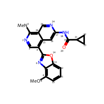 CNc1ncc(-c2nc3c(OC)cccc3o2)c2cc(NC(=O)C3CC3)ncc12